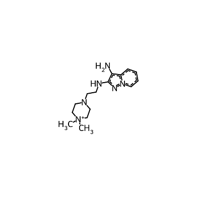 C[N+]1(C)CCN(CCNc2nn3ccccc3c2N)CC1